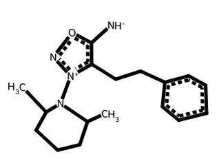 CC1CCCC(C)N1[n+]1noc([NH-])c1CCc1ccccc1